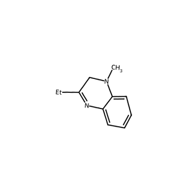 CCC1=Nc2ccccc2N(C)C1